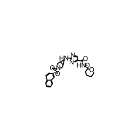 O=C(NOC1CCCCO1)c1cnc(NC2C3CN(S(=O)(=O)c4ccc5ccccc5c4)CC32)nc1